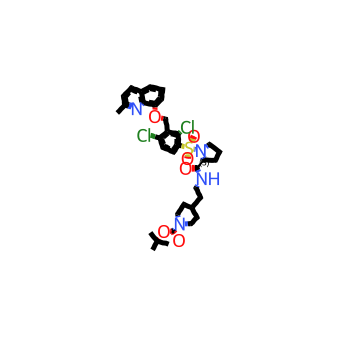 Cc1ccc2cccc(OCc3c(Cl)ccc(S(=O)(=O)N4CCC[C@H]4C(=O)NCCC4CCN(C(=O)OC(C)(C)C)CC4)c3Cl)c2n1